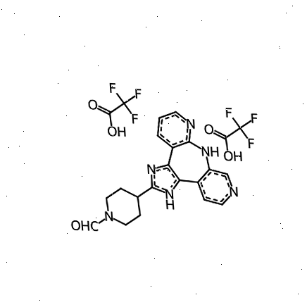 O=C(O)C(F)(F)F.O=C(O)C(F)(F)F.O=CN1CCC(c2nc3c([nH]2)-c2ccncc2Nc2ncccc2-3)CC1